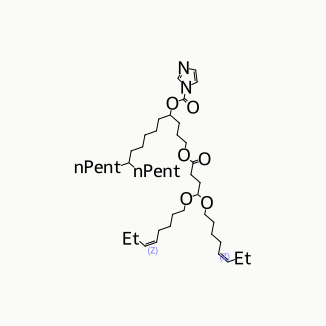 [CH2]CCCCC(CCCCC)CCCCCC(CCCOC(=O)CCC(OCCCC/C=C\CC)OCCCC/C=C\CC)OC(=O)n1ccnc1